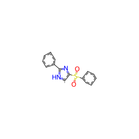 O=S(=O)(c1ccccc1)c1[c][nH]c(-c2ccccc2)n1